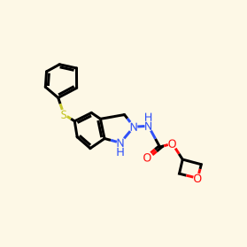 O=C(NN1Cc2cc(Sc3ccccc3)ccc2N1)OC1COC1